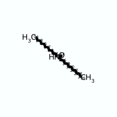 CCCCCCCCCCCCNC(=O)CCCCCCCCCCCC